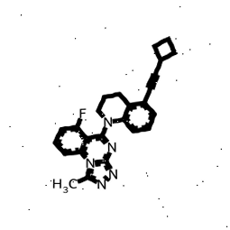 Cc1nnc2nc(N3CCCc4c(C#CC5CCC5)cccc43)c3c(F)cccc3n12